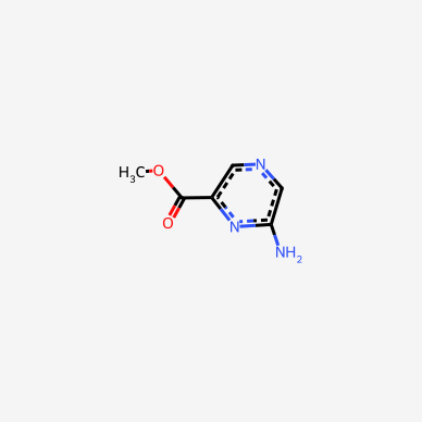 COC(=O)c1cncc(N)n1